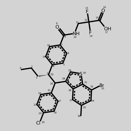 CCC[C@H](c1ccc(C(=O)NCC(F)(F)C(=O)O)cc1)C(c1ccc(Cl)cc1)c1csc2c(Br)cc(C)cc12